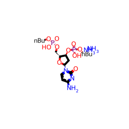 CCCCOP(=O)(O)OC[C@H]1O[C@@H](n2ccc(N)nc2=O)C[C@@H]1OP(=O)(O)OCCCC.N.N